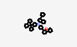 C1=CC2c3ccccc3C(c3ccccc3)(c3ccc(N(c4ccc(-c5cccc6c5oc5ccccc56)cc4)c4ccc(-c5ccccc5)c5ccccc45)cc3)C2C=C1